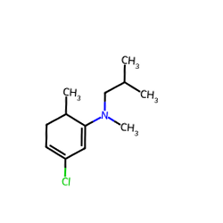 CC(C)CN(C)C1=CC(Cl)=CCC1C